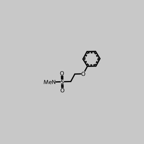 CNS(=O)(=O)CCOc1ccccc1